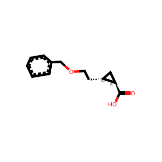 O=C(O)[C@@H]1C[C@H]1CCOCc1ccccc1